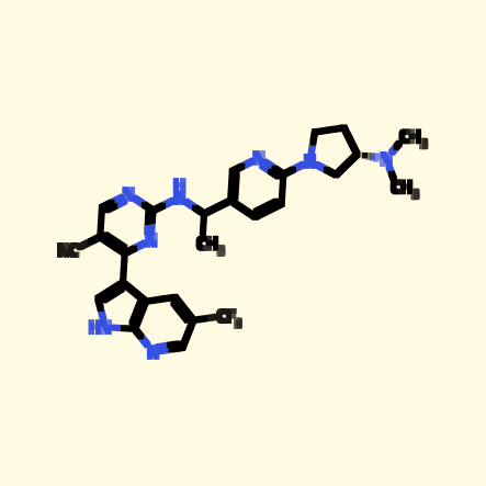 CC(Nc1ncc(C#N)c(-c2c[nH]c3ncc(C(F)(F)F)cc23)n1)c1ccc(N2CC[C@H](N(C)C)C2)nc1